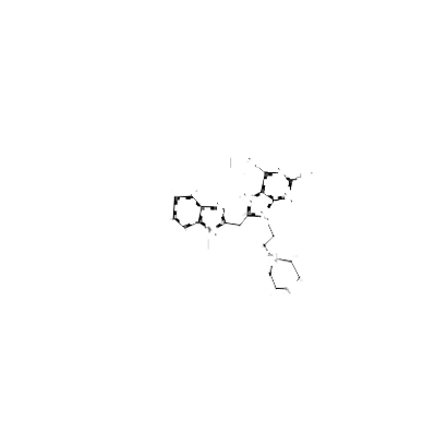 Nc1nc(Cl)nc2c1nc(Cc1nc3ccccc3[nH]1)n2CCN1CCOCC1